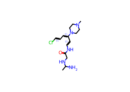 CC(N)NCC(=O)N/C=C/C(=C\C=C\Cl)N1CCN(C)CC1